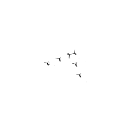 CC(=O)C(=O)O.CC(=O)[O-].CC(=O)[O-].CC(=O)[O-].CC(=O)[O-].[Ti+4]